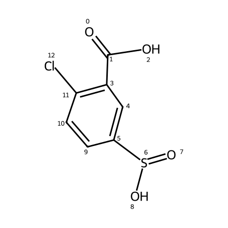 O=C(O)c1cc(S(=O)O)ccc1Cl